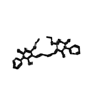 CCOC1=NC(=O)N(c2ccccc2)C(=O)C1=CC=CC=Cc1c(OCC)nc(=O)n(-c2ccccc2)c1O